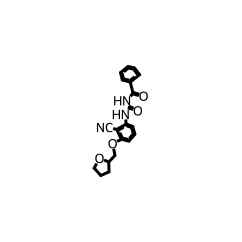 N#Cc1c(NC(=O)NC(=O)c2ccccc2)cccc1OCC1CCCO1